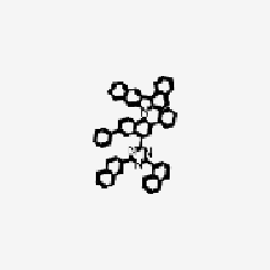 c1ccc(-c2ccc3c(-n4c5cc6ccccc6cc5c5c6ccccc6ccc54)c(-c4ccccc4)cc(-c4nc(-c5ccc6ccccc6c5)nc(-c5cccc6ccccc56)n4)c3c2)cc1